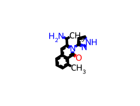 Cc1cccc2cc(C(C)N)n(-c3cc[nH]n3)c(=O)c12